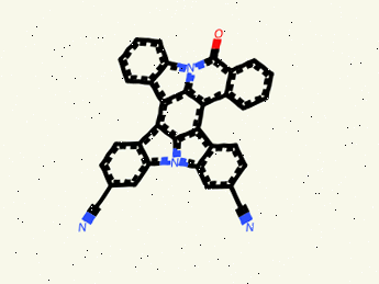 N#Cc1ccc2c3c4c5ccccc5c(=O)n5c6ccccc6c(c6c7ccc(C#N)cc7n(c2c1)c36)c45